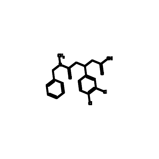 CN(Cc1ccccc1)C(=O)CC(CC(=O)O)c1ccc(Cl)c(Cl)c1